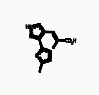 CC(=Cc1c[nH]nc1-c1ccc(C)o1)C(=O)O